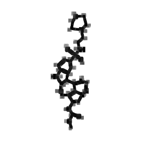 COC(=O)Oc1cn2ncnc(C3C(=O)Nc4ccc(S(=O)(=O)NCCN5CCOCC5)cc43)c2c1C